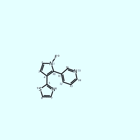 Fn1ccc(-c2nccs2)c1-c1cccnc1